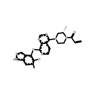 C=CC(=O)N1CCN(c2ncnc3c(Oc4c(Cl)c(C)cc5[nH]ncc45)nccc23)C[C@@H]1C